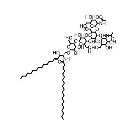 CCCCCCCCCCCCC/C=C/[C@@H](O)[C@H](CO[C@@H]1OC(CO)[C@@H](O[C@@H]2OC(CO)[C@H](O[C@@H]3OC(CO)[C@H](O[C@@H]4OC(CO)[C@H](O)[C@H](O)C4NC(C)=O)[C@H](O[C@@H]4OC(CO)[C@H](O)[C@H](O)C4NC(C)=O)C3O)[C@H](O)C2O)[C@H](O)C1O)NC(=O)CCCCCCCCCCCCCCCCCCC